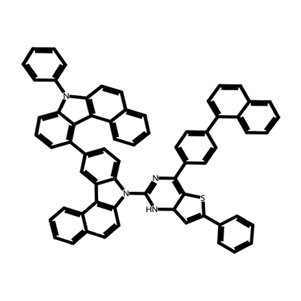 C1=C(c2ccccc2)SC2=C(c3ccc(-c4cccc5ccccc45)cc3)N=C(n3c4ccc(-c5cccc6c5c5c7ccccc7ccc5n6-c5ccccc5)cc4c4c5ccccc5ccc43)NC12